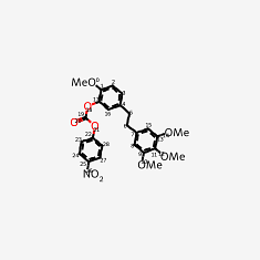 COc1ccc(CCc2cc(OC)c(OC)c(OC)c2)cc1OC(=O)Oc1ccc([N+](=O)[O-])cc1